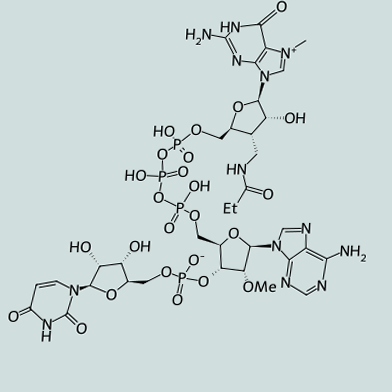 CCC(=O)NC[C@H]1[C@@H](O)[C@H](n2c[n+](C)c3c(=O)[nH]c(N)nc32)O[C@@H]1COP(=O)(O)OP(=O)(O)OP(=O)(O)OC[C@H]1O[C@@H](n2cnc3c(N)ncnc32)[C@H](OC)[C@@H]1OP(=O)([O-])OC[C@H]1O[C@@H](n2ccc(=O)[nH]c2=O)[C@H](O)[C@@H]1O